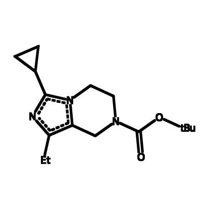 CCc1nc(C2CC2)n2c1CN(C(=O)OC(C)(C)C)CC2